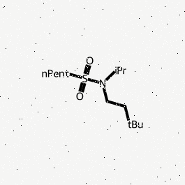 CCCCCS(=O)(=O)N(CCC(C)(C)C)C(C)C